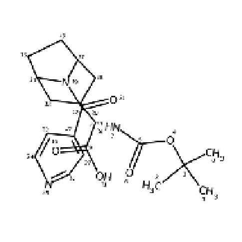 CC(C)(C)OC(=O)N[C@H](C(=O)O)C1CC2CCC(C1)N2C(=O)c1ccncc1